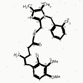 COc1ccc(CC(C)CCC(=O)[N]Cc2nc(C)c(C)n2Cc2ccccc2C(F)(F)F)c(Cl)c1OC